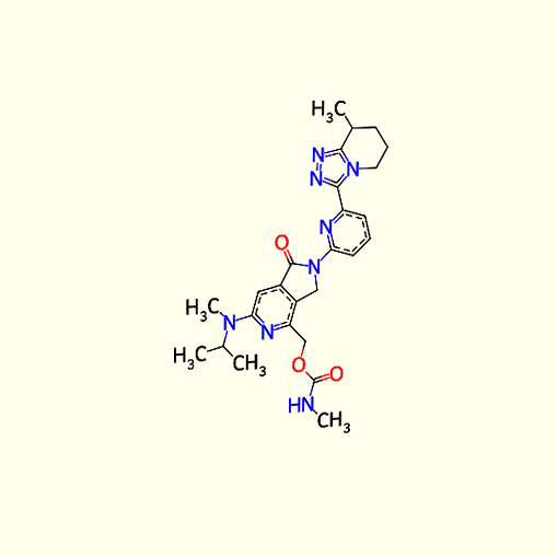 CNC(=O)OCc1nc(N(C)C(C)C)cc2c1CN(c1cccc(-c3nnc4n3CCCC4C)n1)C2=O